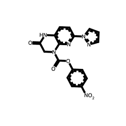 O=C1CN(C(=O)Oc2ccc([N+](=O)[O-])cc2)c2nc(-n3cccn3)ccc2N1